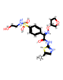 Cc1cnc(NC(=O)/C(=N/O[C@@H]2CCOC2)c2ccc(S(=O)(=O)NCCO)cc2)s1